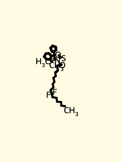 CCCCCCCC(F)(F)CCCCCCC=CCC(=O)N1C(=S)OC(c2ccccc2)(c2ccccc2)[C@@H]1C(C)C